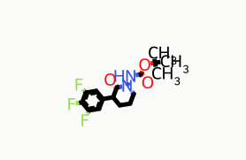 CC(C)(C)OC(=O)NN1CCCC(c2cc(F)c(F)c(F)c2)C1=O